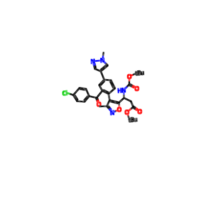 Cc1noc(C(CC(=O)OC(C)(C)C)NC(=O)OC(C)(C)C)c1-c1ccc(-c2cnn(C)c2)cc1C(=O)c1ccc(Cl)cc1